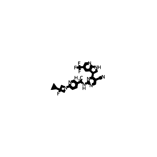 CC(Nc1ncc(C#N)c(C2CNc3ncc(C(F)(F)F)cc32)n1)c1ccc(N2CC(F)(C3CC3)C2)nc1